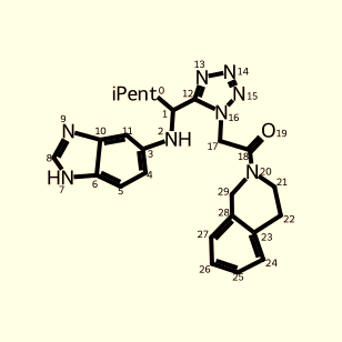 CCCC(C)C(Nc1ccc2[nH]cnc2c1)c1nnnn1CC(=O)N1CCc2ccccc2C1